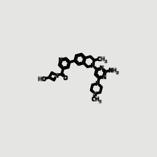 CC1Cc2ccc(-c3cncc(C(=O)N4CC(O)C4)c3)cc2CN1c1cc(N2CCN(C)CC2)nc(N)n1